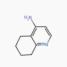 Nc1ccnc2c1CCCC2